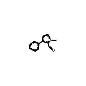 Cn1ccc(-c2ccccc2)c1C=O